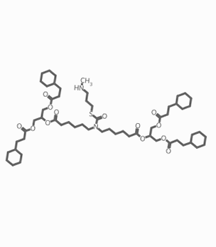 CNCCCSC(=O)N(CCCCCC(=O)OC(COC(=O)CCC1CCCCC1)COC(=O)CCC1CCCCC1)CCCCCC(=O)OC(COC(=O)CCC1CCCCC1)COC(=O)CCC1CCCCC1